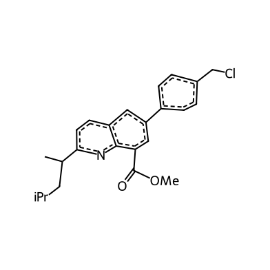 COC(=O)c1cc(-c2ccc(CCl)cc2)cc2ccc(C(C)CC(C)C)nc12